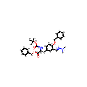 CN(C)/N=C/c1cc(C[C@H](NC(=O)OC(C)(C)C)C(=O)OCc2ccccc2)ccc1OCc1ccccc1